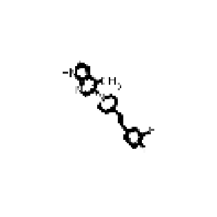 Cc1c(N2CC=C(C=Cc3ccc(F)c(F)c3)CC2)cnc2[nH]ccc12